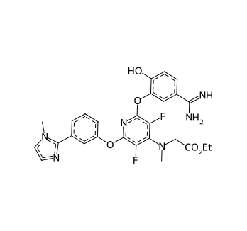 CCOC(=O)CN(C)c1c(F)c(Oc2cccc(-c3nccn3C)c2)nc(Oc2cc(C(=N)N)ccc2O)c1F